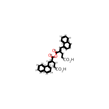 O=C(O)CC/C(=C\c1cccc2ccccc12)C(=O)OC(=O)/C(=C/c1cccc2ccccc12)CCC(=O)O